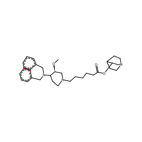 CO[C@H]1CN(CCCCCC(=O)OC2CN3CCC2CC3)CCC1N(Cc1ccccc1)Cc1ccccc1